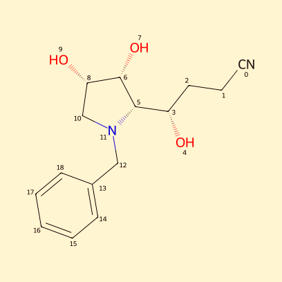 N#CCC[C@H](O)[C@H]1[C@@H](O)[C@@H](O)CN1Cc1ccccc1